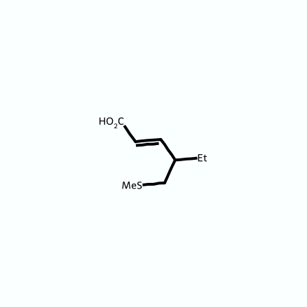 CCC(C=CC(=O)O)CSC